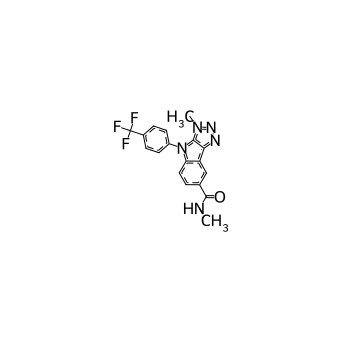 CNC(=O)c1ccc2c(c1)c1nnn(C)c1n2-c1ccc(C(F)(F)F)cc1